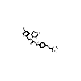 CC(C)COc1ccc(CNC(=O)N(Cc2ccc(F)cn2)[C@H]2CCNC[C@H]2F)cc1